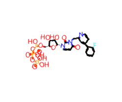 O=c1ccn([C@@H]2O[C@H](COP(=O)(O)OP(=O)(O)OP(=O)(O)O)C(O)[C@@H]2O)c(=O)n1Cc1cc(-c2ccccc2F)ccn1